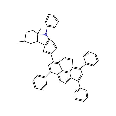 CC1CCC2(C)C(C1)c1cc(-c3cc(-c4ccccc4)c4ccc5c(-c6ccccc6)cc(-c6ccccc6)c6ccc3c4c56)ccc1N2c1ccccc1